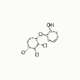 Oc1ccccc1Oc1ccc(Cl)c(Cl)c1Cl